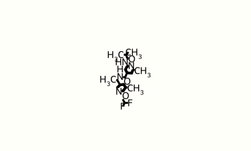 Cc1cc(C(=O)NC(C)c2cnc(OCC(F)F)c(C)c2)cc(NC(=O)C(C)C)n1